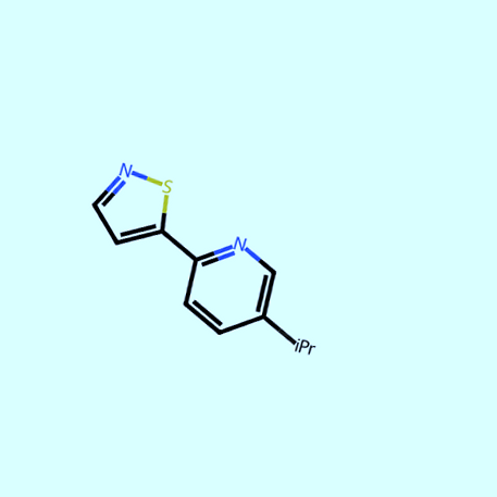 CC(C)c1ccc(-c2ccns2)nc1